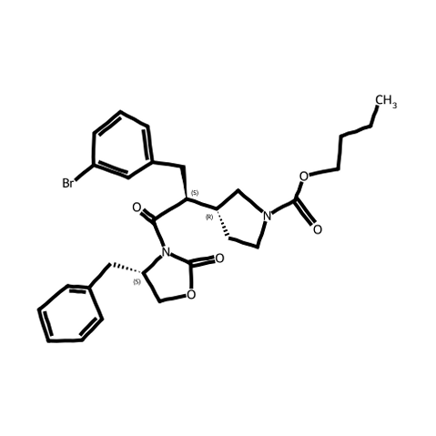 CCCCOC(=O)N1CC[C@H]([C@H](Cc2cccc(Br)c2)C(=O)N2C(=O)OC[C@@H]2Cc2ccccc2)C1